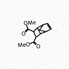 COC(=O)C1C(C(=O)OC)C2C3C=CC(C3)C12